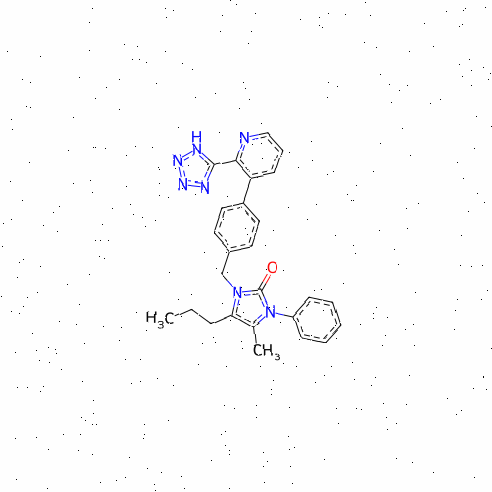 CCCc1c(C)n(-c2ccccc2)c(=O)n1Cc1ccc(-c2cccnc2-c2nnn[nH]2)cc1